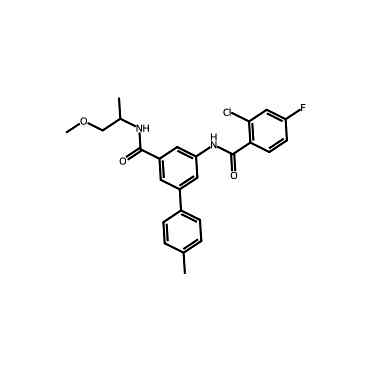 COCC(C)NC(=O)c1cc(NC(=O)c2ccc(F)cc2Cl)cc(-c2ccc(C)cc2)c1